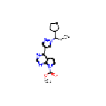 CC(C)(C)OC(=O)n1ccc2c(-c3cnn(C(CC#N)C4CCCC4)c3)ncnc21